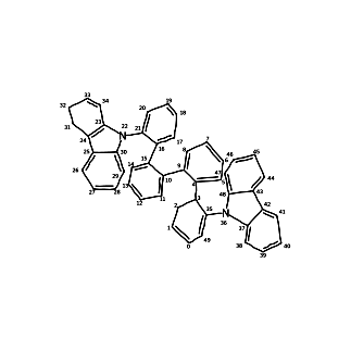 C1=CCC(c2ccccc2-c2ccccc2-c2ccccc2-n2c3c(c4ccccc42)CCC=C3)C(n2c3ccccc3c3ccccc32)=C1